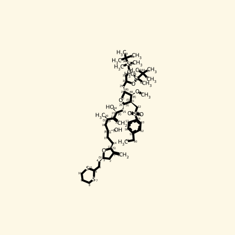 C=C1C[C@H](CCC2SCCCS2)O[C@H]1CC[C@@H](O)C[C@H](C)C(=C)[C@H](O)C[C@@H]1O[C@H](CC(CO[Si](C)(C)C(C)(C)C)O[Si](C)(C)C(C)(C)C)[C@H](OC)[C@H]1CS(=O)(=O)c1ccc(CC)cc1